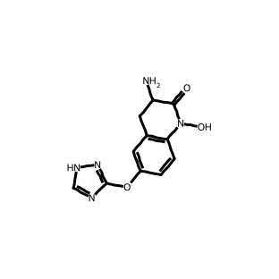 NC1Cc2cc(Oc3nc[nH]n3)ccc2N(O)C1=O